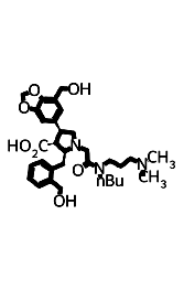 CCCCN(CCCN(C)C)C(=O)CN1C[C@H](c2cc(CO)c3c(c2)OCO3)[C@@H](C(=O)O)[C@@H]1Cc1ccccc1CO